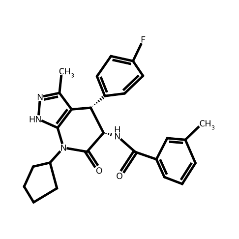 Cc1cccc(C(=O)N[C@@H]2C(=O)N(C3CCCC3)c3[nH]nc(C)c3[C@@H]2c2ccc(F)cc2)c1